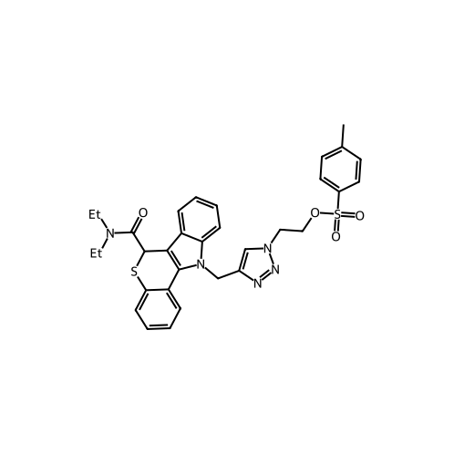 CCN(CC)C(=O)C1Sc2ccccc2-c2c1c1ccccc1n2Cc1cn(CCOS(=O)(=O)c2ccc(C)cc2)nn1